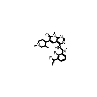 CC1CN(C)CCC1c1cc2c(N[C@H](C)c3cccc(C(F)F)c3F)ncnc2n(C)c1=O